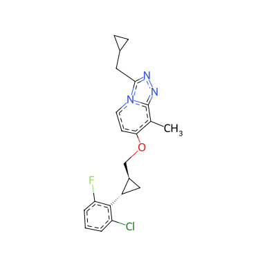 Cc1c(OC[C@H]2C[C@@H]2c2c(F)cccc2Cl)ccn2c(CC3CC3)nnc12